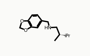 CC(C)[C@H](C)CNCc1ccc2c(c1)OCO2